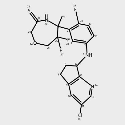 CC1(c2cc(NC3CCc4cc(Cl)cnc43)ccc2F)NC(=S)COCC1(F)F